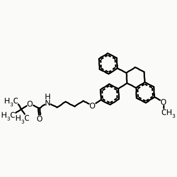 COc1ccc2c(c1)CCC(c1ccccc1)C2c1ccc(OCCCCNC(=O)OC(C)(C)C)cc1